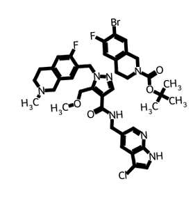 CC(C)(C)OC(=O)N1CCc2cc(F)c(Br)cc2C1.COCc1c(C(=O)NCc2cnc3[nH]cc(Cl)c3c2)cnn1Cc1cc2c(cc1F)CCN(C)C2